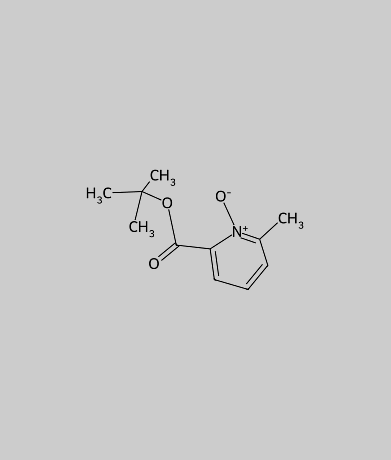 Cc1cccc(C(=O)OC(C)(C)C)[n+]1[O-]